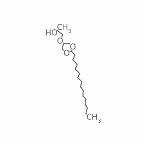 CCCCCCCCCCCCCCCC1OCC(OCC(C)O)CO1